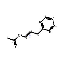 CC(=O)O/C=C/Cc1ccccc1